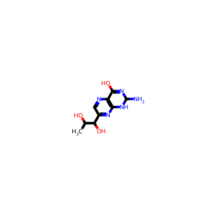 CC(O)C(O)c1cnc2c(n1)NC(N)N=C2O